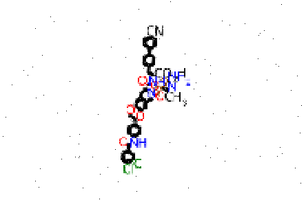 Cc1nc(N)sc1S(=O)(=O)N1Cc2cc3c(cc2C[C@H]1C(=O)NC(Cc1ccc(-c2ccc(C#N)cc2)cc1)C(=O)O)OC[C@H](c1ccc(NC(=O)c2ccc(Cl)c(Cl)c2)cc1)O3